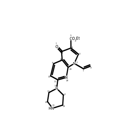 C=Cn1cc(C(=O)OCC)c(=O)c2ccc(N3CCNCC3)nc21